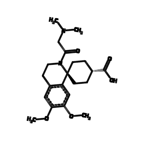 COc1cc2c(cc1OC)[C@]1(CC[C@@H](C(=O)O)CC1)N(C(=O)CN(C)C)CC2